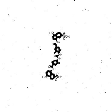 Cc1cc(C(=O)Nc2ccc(O)c3ccc(S(=O)(=O)O)cc23)ccc1NC(=O)Nc1ccc(C(=O)Nc2ccc(O)c3ccc(S(=O)(=O)O)cc23)cc1C